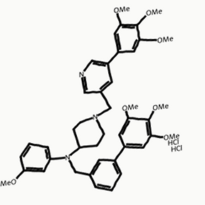 COc1cccc(N(Cc2cccc(-c3cc(OC)c(OC)c(OC)c3)c2)C2CCN(Cc3cncc(-c4cc(OC)c(OC)c(OC)c4)c3)CC2)c1.Cl.Cl